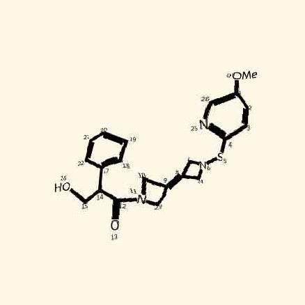 COc1ccc(SN2CC(=C3CN(C(=O)C(CO)c4ccccc4)C3)C2)nc1